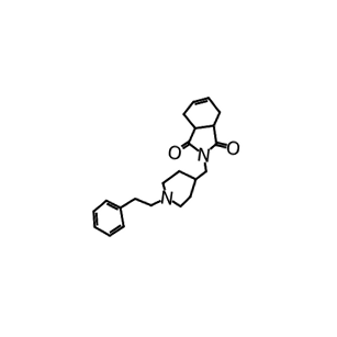 O=C1C2CC=CCC2C(=O)N1CC1CCN(CCc2ccccc2)CC1